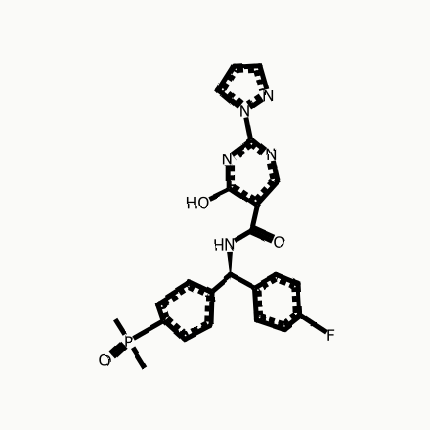 CP(C)(=O)c1ccc([C@@H](NC(=O)c2cnc(-n3cccn3)nc2O)c2ccc(F)cc2)cc1